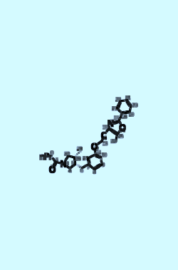 CCCC(=O)N1C[C@@H](Cc2cccc(OCCc3nc(-c4ccccc4)oc3C)c2)[C@@H](C)C1